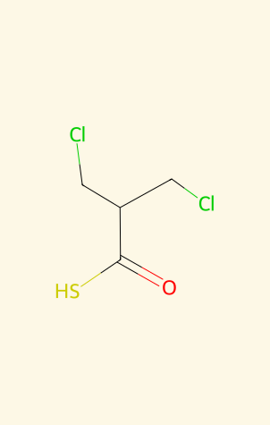 O=C(S)C(CCl)CCl